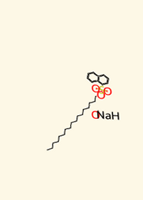 C=O.CCCCCCCCCCCCCCCCCOS(=O)(=O)c1cccc2ccccc12.[NaH]